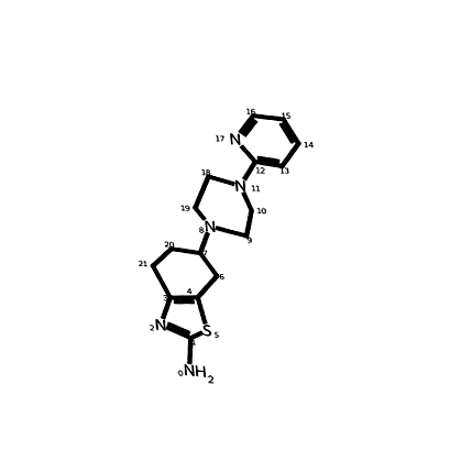 Nc1nc2c(s1)CC(N1CCN(c3ccccn3)CC1)CC2